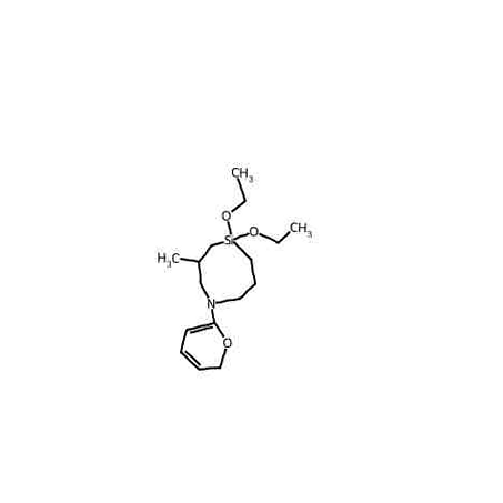 CCO[Si]1(OCC)CCCN(C2=CC=CCO2)CC(C)C1